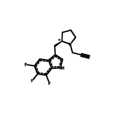 C#CCN1CCC[C@@H]1Cc1c[nH]c2c(F)c(F)c(F)cc12